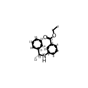 CCOC(=O)c1cccc(N[C@H](C)c2ccccc2)c1